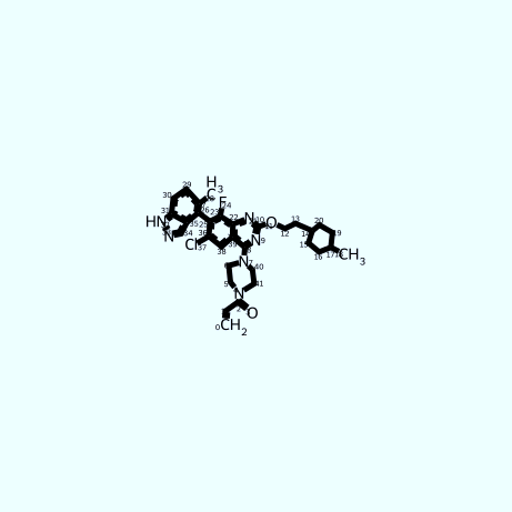 C=CC(=O)N1CCN(c2nc(OCCC3CCC(C)CC3)nc3c(F)c(-c4c(C)ccc5[nH]ncc45)c(Cl)cc23)CC1